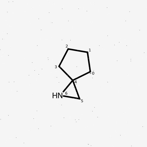 [CH]1CCCC12CN2